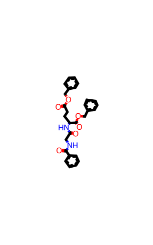 O=C(CNC(=O)c1ccccc1)NC(CCC(=O)OCc1ccccc1)C(=O)OCc1ccccc1